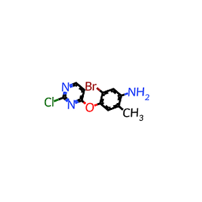 Cc1cc(Oc2ccnc(Cl)n2)c(Br)cc1N